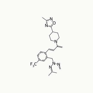 C=NN(Cc1cc(C(F)(F)F)ccc1/C=C/C(=C)N1CCC(c2nc(C)no2)CC1)N=C(C)C